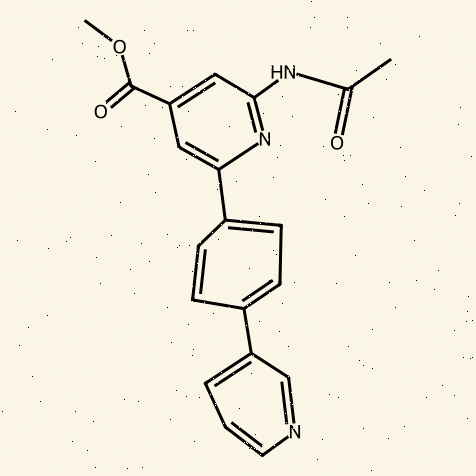 COC(=O)c1cc(NC(C)=O)nc(-c2ccc(-c3cccnc3)cc2)c1